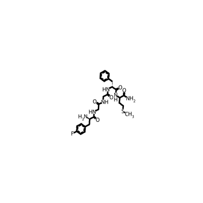 CSCCC(NC(=O)[C@@H](Cc1ccccc1)NC(=O)CNC(=O)CNC(=O)[C@H](N)Cc1ccc(F)cc1)C(N)=O